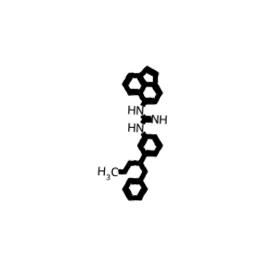 CCCC(Cc1ccccc1)c1cccc(NC(=N)Nc2ccc3c4c(cccc24)C=C3)c1